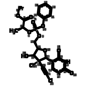 CC(C)OC(=O)[C@H](C)O[P@](=O)(OC[C@H]1O[C@@H](n2cnc(=O)[nH]c2=O)[C@@](Cl)(C#CCl)C1O)Oc1ccccc1